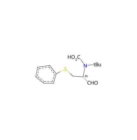 CC(C)(C)N(C(=O)O)[C@H](C=O)CSc1ccccc1